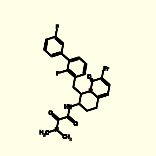 CC(C)c1ccc2n(c1=O)C(Cc1cccc(-c3cccc(F)c3)c1F)C(NC(=O)C(=O)N(C)C)CC2